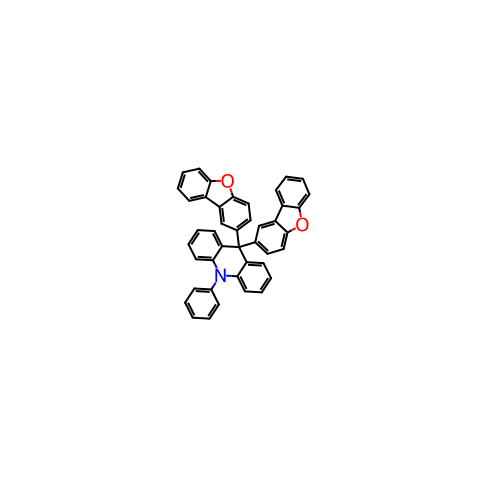 c1ccc(N2c3ccccc3C(c3ccc4oc5ccccc5c4c3)(c3ccc4oc5ccccc5c4c3)c3ccccc32)cc1